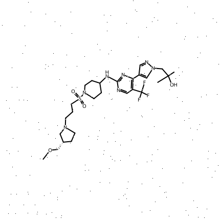 COC[C@H]1CCN(CCCS(=O)(=O)N2CCC(Nc3ncc(C(F)(F)F)c(-c4cnn(CC(C)(C)O)c4)n3)CC2)C1